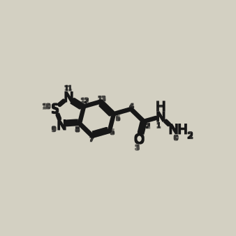 NNC(=O)Cc1ccc2nsnc2c1